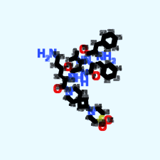 CC(C)C[C@@H](NC(=O)[C@@H](Cc1ccccc1)NC(=O)[C@H](N)Cc1ccccc1)C(=O)N[C@H](CCCCN)C(=O)N1CCC2(CC1)CC(N1CCS(=O)(=O)CC1)C2